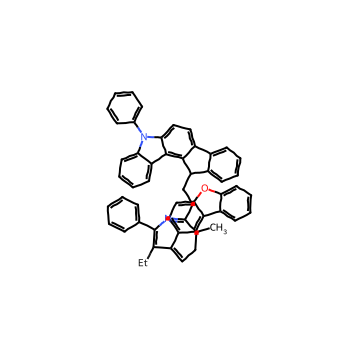 CCC1=C(c2ccccc2)/N=C(/CCC2c3ccccc3-c3ccc4c(c32)c2ccccc2n4-c2ccccc2)C(C)C\C=C\1c1ccc2oc3ccccc3c2c1